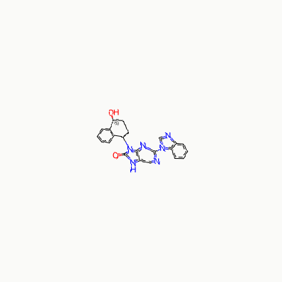 O=c1[nH]c2cnc(-n3cnc4ccccc43)nc2n1C1CC[C@H](O)c2ccccc21